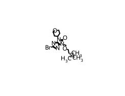 C[Si](C)(C)CCOCn1c(=O)n(C2CCOCC2)c2nc(Br)cnc21